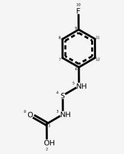 O=C(O)NSNc1ccc(F)cc1